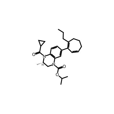 CCCC1=C(c2ccc3c(c2)N(C(=O)OC(C)C)C[C@H](C)N3C(=O)C2CC2)C=CCCC1